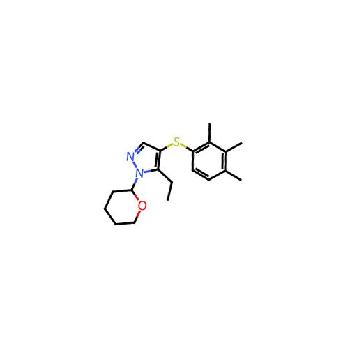 CCc1c(Sc2ccc(C)c(C)c2C)cnn1C1CCCCO1